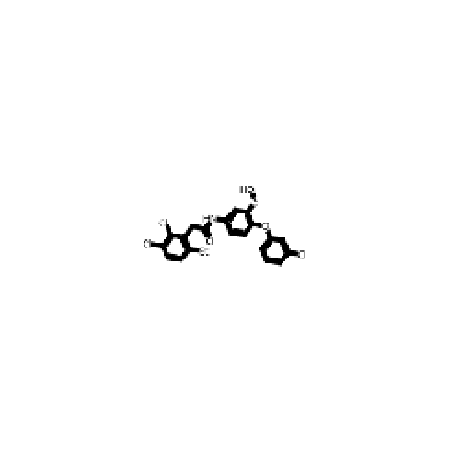 CCc1ccc(Cl)c(Cl)c1CC(=O)Nc1ccc(Oc2cccc(Cl)c2)c(SO)c1